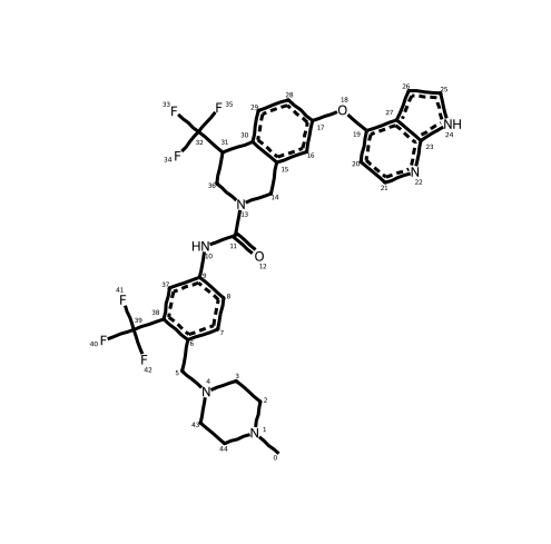 CN1CCN(Cc2ccc(NC(=O)N3Cc4cc(Oc5ccnc6[nH]ccc56)ccc4C(C(F)(F)F)C3)cc2C(F)(F)F)CC1